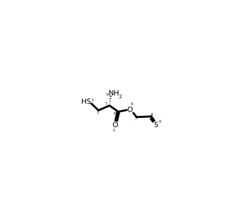 N[C@@H](CS)C(=O)OCC=S